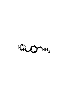 NCc1ccc(Cn2cncn2)cc1